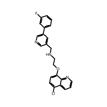 Fc1cccc(-c2cncc(CNCCOc3ccc(Cl)c4cccnc34)c2)c1